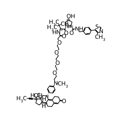 CC#C[C@]1(O)CC[C@H]2[C@@H]3CCC4=CC(=O)CCC4=C3[C@@H](c3ccc(N(C)CCOCCOCCOCCOCC(=O)N[C@H](C(=O)N4C[C@H](O)C[C@H]4C(=O)NCc4ccc(-c5scnc5C)cc4)C(C)(C)C)cc3)C[C@@]21C